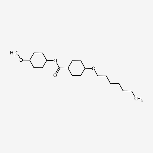 CCCCCCCOC1CCC(C(=O)OC2CCC(OC)CC2)CC1